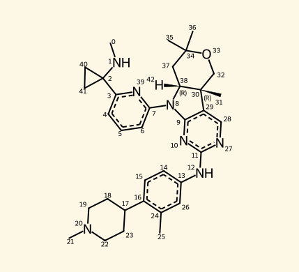 CNC1(c2cccc(N3c4nc(Nc5ccc(C6CCN(C)CC6)c(C)c5)ncc4[C@@]4(C)COC(C)(C)C[C@@H]34)n2)CC1